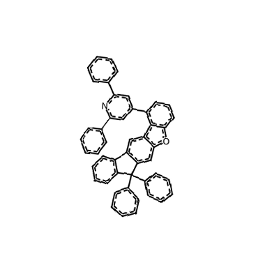 c1ccc(-c2cc(-c3cccc4oc5cc6c(cc5c34)-c3ccccc3C6(c3ccccc3)c3ccccc3)cc(-c3ccccc3)n2)cc1